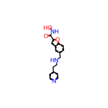 O=C(NO)c1cc2cc(CNCCc3ccncc3)ccc2o1